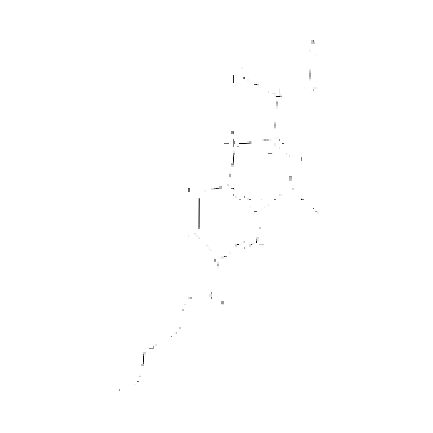 CCCCCOc1ccc(NC(=O)C(N)CS)c(OC)c1